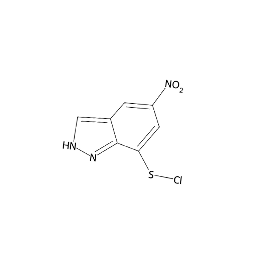 O=[N+]([O-])c1cc(SCl)c2n[nH]cc2c1